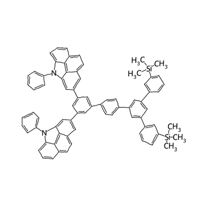 C[Si](C)(C)c1cccc(-c2cc(-c3ccc(-c4cc(-c5cc6ccc7cccc8c7c6c(c5)n8-c5ccccc5)cc(-c5cc6ccc7cccc8c7c6c(c5)n8-c5ccccc5)c4)cc3)cc(-c3cccc([Si](C)(C)C)c3)c2)c1